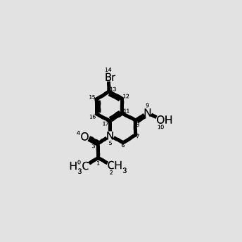 CC(C)C(=O)N1CCC(=NO)c2cc(Br)ccc21